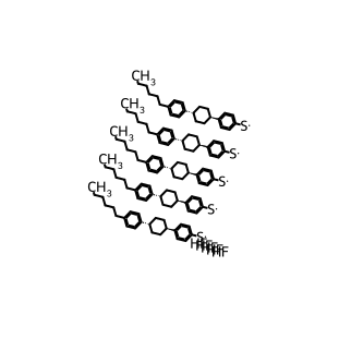 CCCCCCc1ccc([C@H]2CC[C@H](c3ccc([S])cc3)CC2)cc1.CCCCCCc1ccc([C@H]2CC[C@H](c3ccc([S])cc3)CC2)cc1.CCCCCCc1ccc([C@H]2CC[C@H](c3ccc([S])cc3)CC2)cc1.CCCCCCc1ccc([C@H]2CC[C@H](c3ccc([S])cc3)CC2)cc1.CCCCCCc1ccc([C@H]2CC[C@H](c3ccc([S])cc3)CC2)cc1.F.F.F.F.F